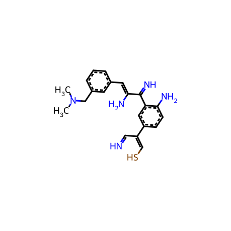 CN(C)Cc1cccc(/C=C(\N)C(=N)c2cc(/C(C=N)=C/S)ccc2N)c1